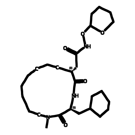 CN1CCCCCCCC[C@H](CC(=O)NOC2CCCCO2)C(=O)N[C@@H](CC2CCCCC2)C1=O